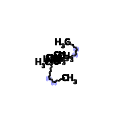 CCCCC/C=C\C/C=C\CCCCCCC(COCC(CCCCCC/C=C\C/C=C\CCCCC)C(C)N(C)C)C(C)N(C)C